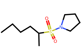 CCCCC(C)S(=O)(=O)N1CCCC1